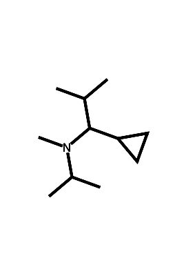 CC(C)C(C1CC1)N(C)C(C)C